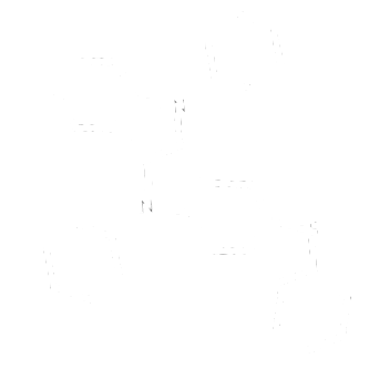 c1ccc(-n2c3ccccc3c3c2c2cc4sc5ccccc5c4cc2n3-c2ccccc2)cc1